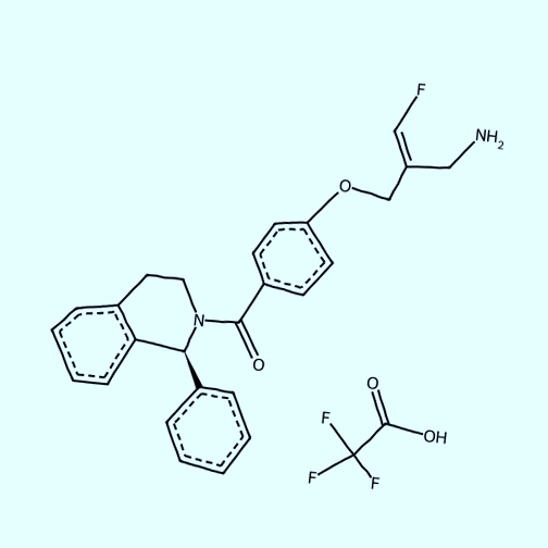 NCC(=CF)COc1ccc(C(=O)N2CCc3ccccc3[C@@H]2c2ccccc2)cc1.O=C(O)C(F)(F)F